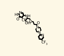 O=C(CCOCC(CO)Nc1cn[nH]c(=O)c1C(F)(F)F)N1CCN(c2ccc(C(F)(F)F)cn2)CC1